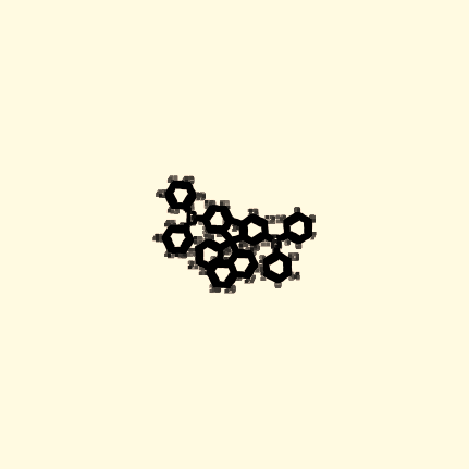 c1ccc(B(c2ccccc2)c2ccc3c(c2)C(c2ccccc2)(c2cccc4ccccc24)c2cc(B(c4ccccc4)c4ccccc4)ccc2-3)cc1